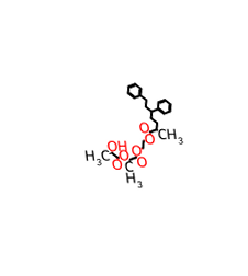 CC(CCC(CCc1ccccc1)c1ccccc1)C(=O)OCCOC(=O)[C@H](C)OC(=O)[C@H](C)O